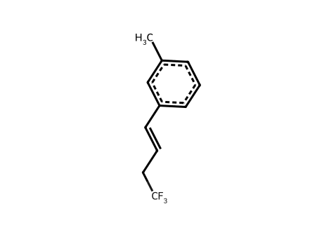 Cc1cccc(/C=C/CC(F)(F)F)c1